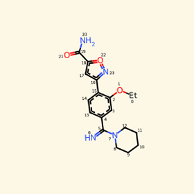 CCOc1cc(C(=N)N2CCCCC2)ccc1-c1cc(C(N)=O)on1